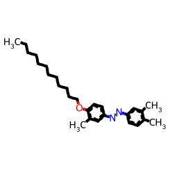 CCCCCCCCCCCCOc1ccc(/N=N/c2ccc(C)c(C)c2)cc1C